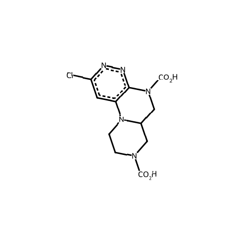 O=C(O)N1CCN2c3cc(Cl)nnc3N(C(=O)O)CC2C1